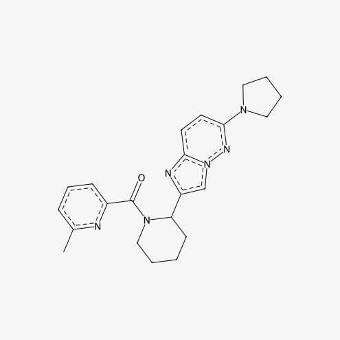 Cc1cccc(C(=O)N2CCCCC2c2cn3nc(N4CCCC4)ccc3n2)n1